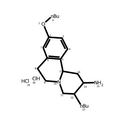 CCCCOc1ccc2c(c1)CCN1CC(CCCC)C(N)CC21.Cl.Cl